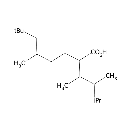 CC(CCC(C(=O)O)C(C)C(C)C(C)C)CC(C)(C)C